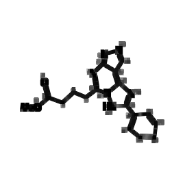 COC(=O)CCCc1nc2nncc-2c2nc(-c3ccccc3)[nH]n12